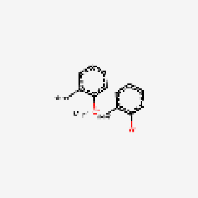 CCCCCCCCCc1ccccc1[O-].CCCCCCCCCc1ccccc1[O-].[Mg+2]